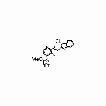 CCCC(OC)Sc1ccnc(SCc2nc3ccccc3n2Cl)c1C